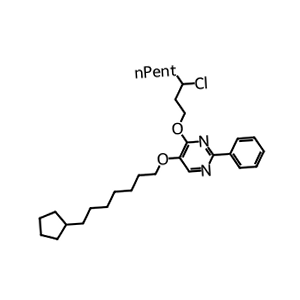 CCCCCC(Cl)CCOc1nc(-c2ccccc2)ncc1OCCCCCCCC1CCCC1